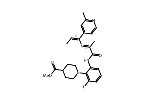 C/C=C(\N=C(/C)C(=O)Nc1cccc(F)c1N1CCC(C(=O)OC)CC1)c1ccnc(C)c1